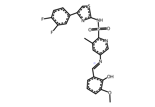 COc1cccc(/C=N/c2cnc(S(=O)(=O)Nc3nc(-c4ccc(F)c(F)c4)cs3)c(C)c2)c1O